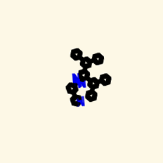 c1ccc(-c2cc(-c3ccccc3)cc(-c3cc(-c4cc(-c5ccccc5)cc(-c5ccccc5)c4)c4nn(-c5cccc(-c6cccnc6)c5)nc4c3)c2)cc1